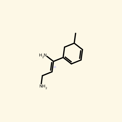 CC1C=CC=C(/C(N)=C/CN)C1